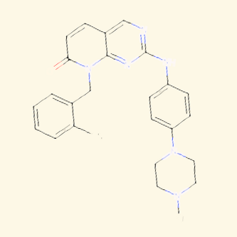 CN1CCN(c2ccc(Nc3ncc4ccc(=O)n(Cc5ccccc5C#N)c4n3)cc2)CC1